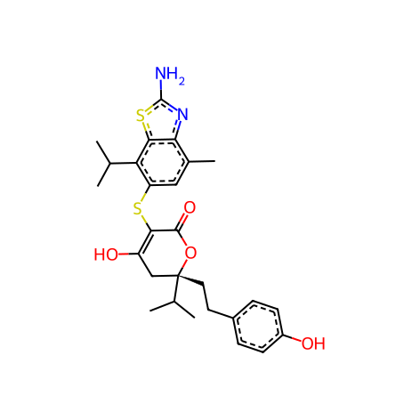 Cc1cc(SC2=C(O)C[C@@](CCc3ccc(O)cc3)(C(C)C)OC2=O)c(C(C)C)c2sc(N)nc12